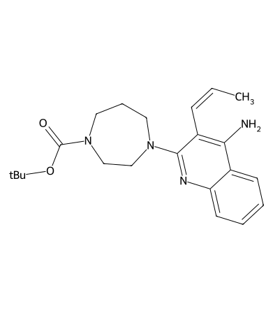 C/C=C\c1c(N2CCCN(C(=O)OC(C)(C)C)CC2)nc2ccccc2c1N